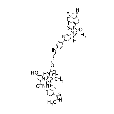 Cc1ncsc1-c1ccc(CNC(=O)[C@@H]2C[C@@H](O)CN2C(=O)[C@@H](NC(=O)COCCCCNc2ccc(-c3ccc(N4C(=S)N(c5ccc(C#N)c(C(F)(F)F)c5F)C(=O)C4(C)C)cn3)cc2)C(C)(C)C)cc1